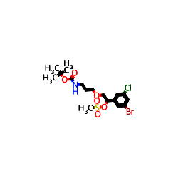 CC(C)(C)OC(=O)NCCCOCC(OS(C)(=O)=O)c1cc(Cl)cc(Br)c1